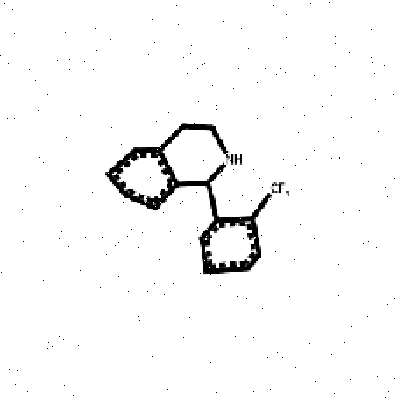 FC(F)(F)c1ccccc1C1NCCc2ccccc21